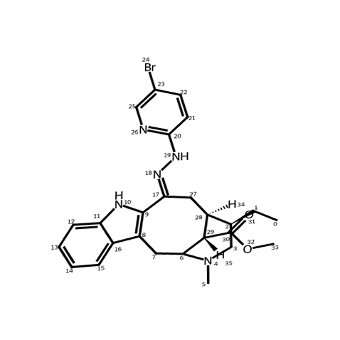 CC[C@H]1CN(C)C2Cc3c([nH]c4ccccc34)/C(=N/Nc3ccc(Br)cn3)C[C@@H]1[C@@H]2C(=O)OC